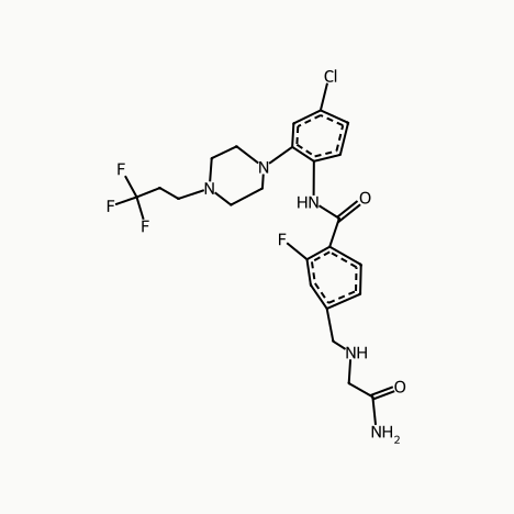 NC(=O)CNCc1ccc(C(=O)Nc2ccc(Cl)cc2N2CCN(CCC(F)(F)F)CC2)c(F)c1